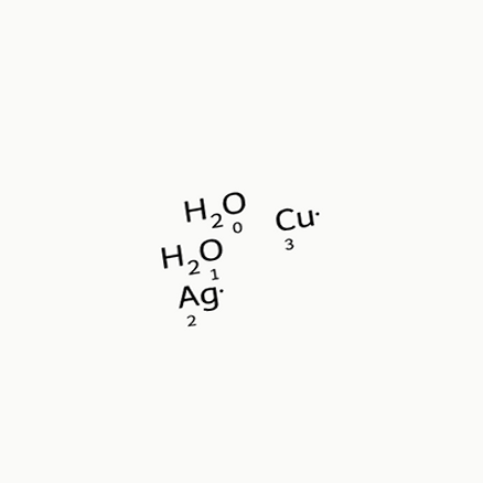 O.O.[Ag].[Cu]